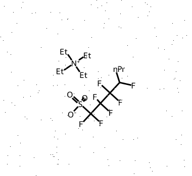 CCCC(F)C(F)(F)C(F)(F)C(F)(F)S(=O)(=O)[O-].CC[N+](CC)(CC)CC